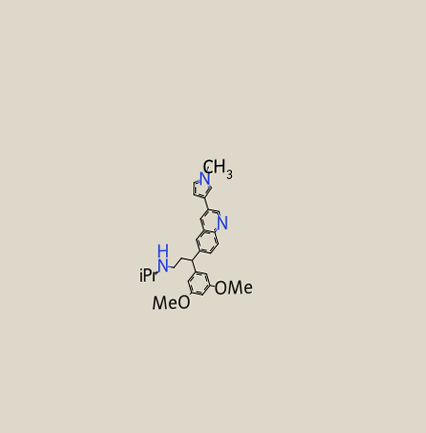 COc1cc(OC)cc(C(CCNC(C)C)c2ccc3ncc(-c4ccn(C)c4)cc3c2)c1